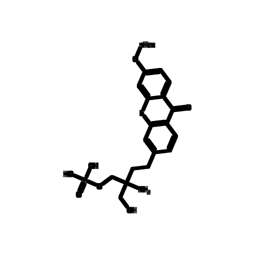 CCCCCCOc1ccc2c(=O)c3ccc(CCC(N)(CO)COP(=O)(O)O)cc3sc2c1